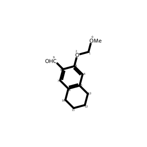 COCOc1cc2c(cc1C=O)CCCC2